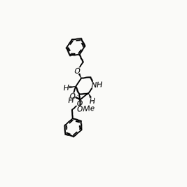 COC1O[C@H]2[C@H](OCc3ccccc3)[C@@H]1NC[C@@H]2OCc1ccccc1